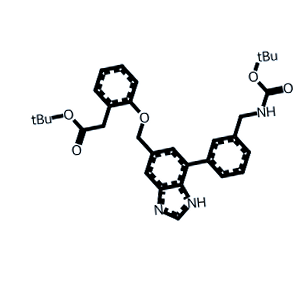 CC(C)(C)OC(=O)Cc1ccccc1OCc1cc(-c2cccc(CNC(=O)OC(C)(C)C)c2)c2[nH]cnc2c1